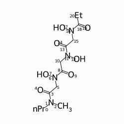 CCCN(C)C(=O)CN(O)C(=O)CN(O)C(=O)CN(O)C(=O)CC